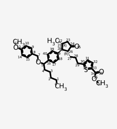 CCCCCC(OCc1ccc(OC)cc1)c1ccc([C@H]2[C@H](C)CC(=O)[C@@H]2CCCc2ccc(C(=O)OC)s2)cc1